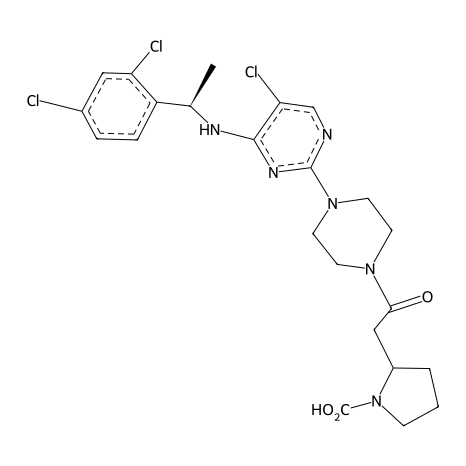 C[C@@H](Nc1nc(N2CCN(C(=O)CC3CCCN3C(=O)O)CC2)ncc1Cl)c1ccc(Cl)cc1Cl